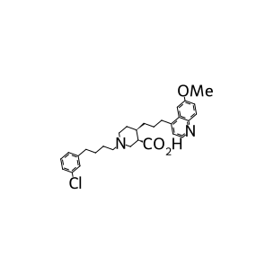 COc1ccc2nccc(CCC[C@@H]3CCN(CCCCc4cccc(Cl)c4)C[C@@H]3C(=O)O)c2c1